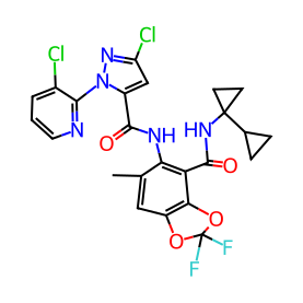 Cc1cc2c(c(C(=O)NC3(C4CC4)CC3)c1NC(=O)c1cc(Cl)nn1-c1ncccc1Cl)OC(F)(F)O2